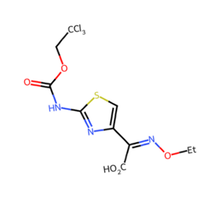 CCON=C(C(=O)O)c1csc(NC(=O)OCC(Cl)(Cl)Cl)n1